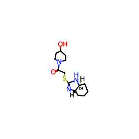 O=C(CSC1=N[C@H]2CCCC[C@@H]2N1)N1CCC(O)CC1